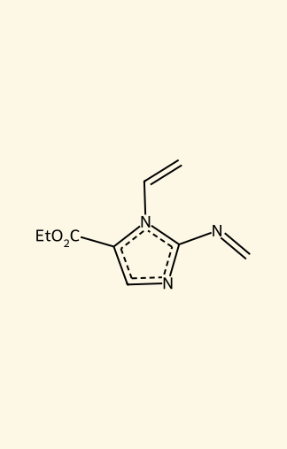 C=Cn1c(C(=O)OCC)cnc1N=C